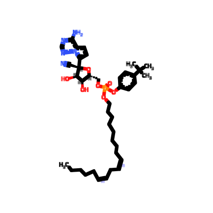 CCCCC/C=C\C/C=C\CCCCCCCCOP(=O)(OC[C@H]1O[C@@](C#N)(c2ccc3c(N)ncnn23)[C@H](O)[C@@H]1O)Oc1ccc(C(C)(C)C)cc1